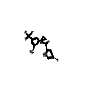 Cc1cc(C(F)(F)F)cc(C2(NC(=O)[C@H]3C[C@H](F)CN3)CC2)c1